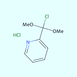 COC(Cl)(OC)c1ccccn1.Cl